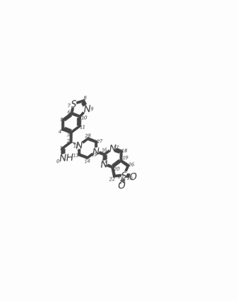 N=C[C@H](c1ccc2scnc2c1)N1CCN(c2ncc3c(n2)CS(=O)(=O)C3)CC1